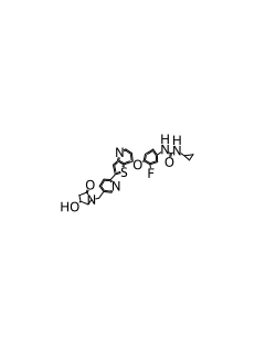 O=C(Nc1ccc(Oc2ccnc3cc(-c4ccc(CN5CC(O)CC5=O)cn4)sc23)c(F)c1)NC1CC1